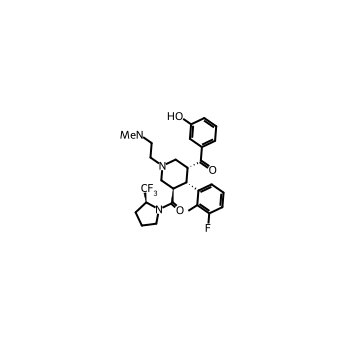 CNCCN1C[C@H](C(=O)c2cccc(O)c2)[C@H](c2cccc(F)c2C)[C@@H](C(=O)N2CCC[C@H]2C(F)(F)F)C1